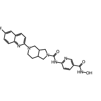 O=C(NO)c1ccc(NC(=O)N2CC3CCN(c4ccc5cc(F)ccc5n4)CC3C2)nc1